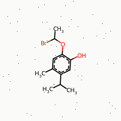 Cc1cc(OC(C)Br)c(O)cc1C(C)C